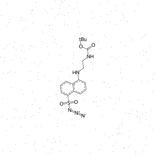 CC(C)(C)OC(=O)NCCNc1cccc2c(S(=O)(=O)N=[N+]=[N-])cccc12